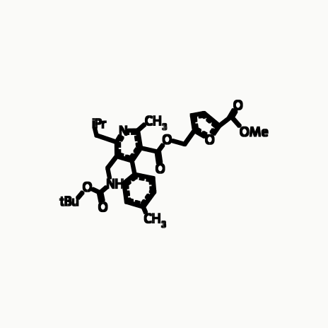 COC(=O)c1ccc(COC(=O)c2c(C)nc(CC(C)C)c(CNC(=O)OC(C)(C)C)c2-c2ccc(C)cc2)o1